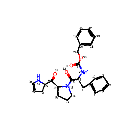 O=C(N[C@@H](Cc1ccccc1)C(=O)N1CCC[C@H]1C(=O)C1CC=CN1)OCc1ccccc1